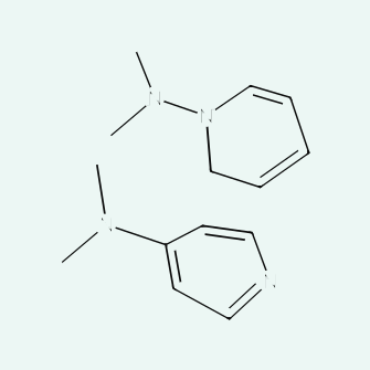 CN(C)N1C=CC=CC1.CN(C)c1ccncc1